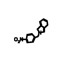 O=[N+]([O-])c1ccc(CN2C=C3CC=CC=C3C2)cc1